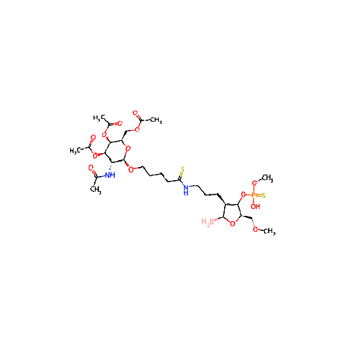 B[C@@H]1O[C@H](COC)C(OP(O)(=S)OC)[C@@H]1CCCNC(=S)CCCCO[C@@H]1O[C@H](COC(C)=O)[C@H](OC(C)=O)[C@H](OC(C)=O)[C@H]1NC(C)=O